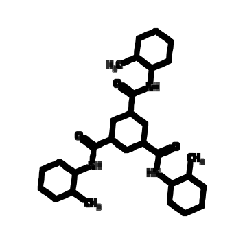 CC1CCCCC1NC(=O)C1CC(C(=O)NC2CCCCC2C)CC(C(=O)NC2CCCCC2C)C1